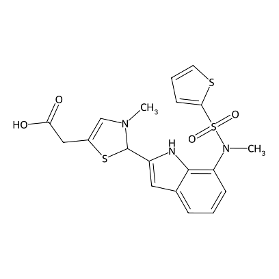 CN1C=C(CC(=O)O)SC1c1cc2cccc(N(C)S(=O)(=O)c3cccs3)c2[nH]1